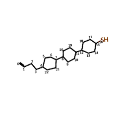 C=CCCC1CCC(C2CCC(C3CCC(S)CC3)CC2)CC1